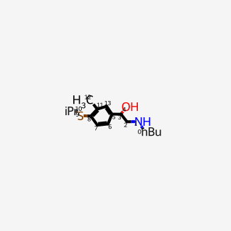 CCCCNCC(O)c1ccc(SC(C)C)c(C)c1